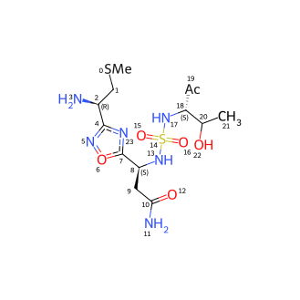 CSC[C@H](N)c1noc([C@H](CC(N)=O)NS(=O)(=O)N[C@H](C(C)=O)C(C)O)n1